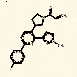 C=CC(=O)N1CCC(c2cnc(-c3ccc(F)cc3)nc2-c2ccn(C)n2)C1